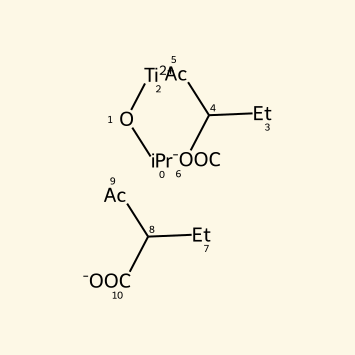 CC(C)[O][Ti+2].CCC(C(C)=O)C(=O)[O-].CCC(C(C)=O)C(=O)[O-]